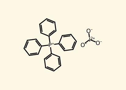 [O-][I+2]([O-])[O-].c1ccc([P+](c2ccccc2)(c2ccccc2)c2ccccc2)cc1